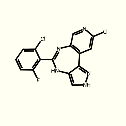 Fc1cccc(Cl)c1C1=Nc2cnc(Cl)cc2-c2n[nH]cc2N1